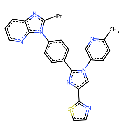 Cc1ccc(-n2cc(-c3nccs3)nc2-c2ccc(-n3c(C(C)C)nc4cccnc43)cc2)cn1